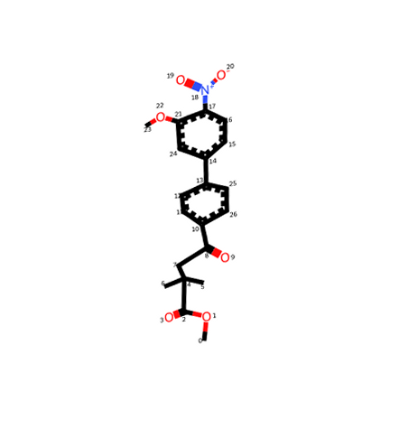 COC(=O)C(C)(C)CC(=O)c1ccc(-c2ccc([N+](=O)[O-])c(OC)c2)cc1